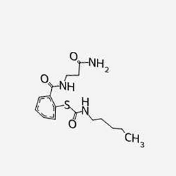 CCCCCNC(=O)Sc1ccccc1C(=O)NCCC(N)=O